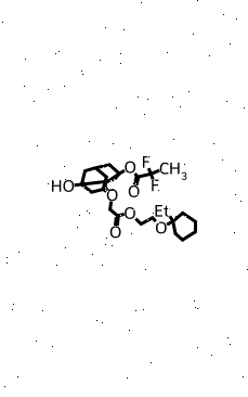 CCC1(OCCOC(=O)COC23CC4CC(O)(C2)CC(OC(=O)C(C)(F)F)(C4)C3)CCCCC1